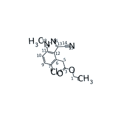 CCOC(=O)Cc1c(Cl)ccc2c1c(C#N)nn2C